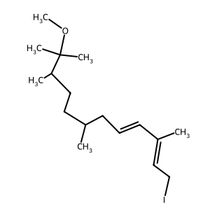 COC(C)(C)C(C)CCC(C)CC=CC(C)=CCI